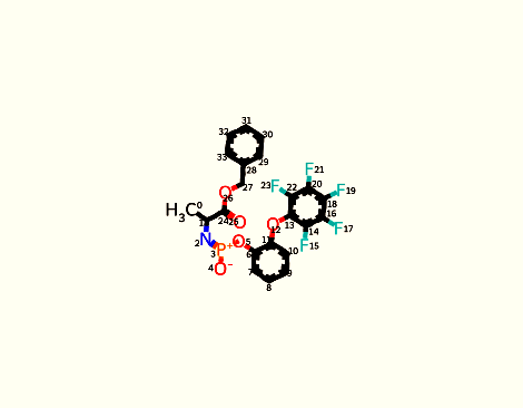 CC(/N=[P+](/[O-])Oc1ccccc1Oc1c(F)c(F)c(F)c(F)c1F)C(=O)OCc1ccccc1